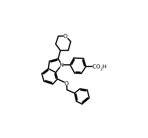 O=C(O)c1ccc(-n2c(C3CCOCC3)cc3cccc(OCc4ccccc4)c32)cc1